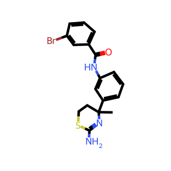 CC1(c2cccc(NC(=O)c3cccc(Br)c3)c2)CCSC(N)=N1